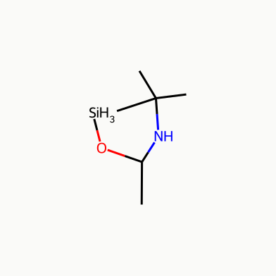 CC(NC(C)(C)C)O[SiH3]